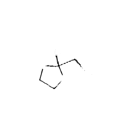 CCC1(CN)OCCO1